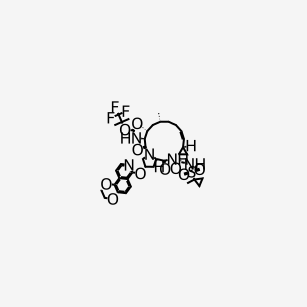 C[C@@H]1CC/C=C\[C@@H]2C[C@@]2(C(=O)NS(=O)(=O)C2(C)CC2)NC(=O)[C@@H]2C[C@@H](Oc3nccc4c5c(ccc34)OCCO5)CN2C(=O)[C@@H](NC(=O)OC(C)(C)C(F)(F)F)[C@H](C)C1